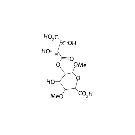 COC1OC(C(=O)O)C(OC)C(O)C1OC(=O)[C@H](O)[C@@H](O)C(=O)O